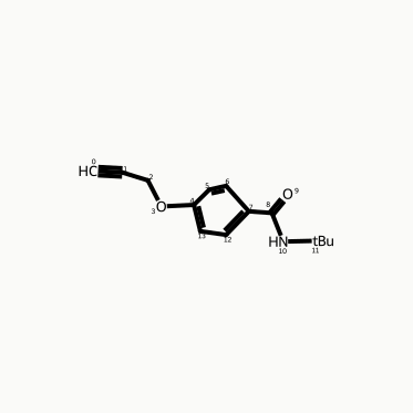 C#CCOc1ccc(C(=O)NC(C)(C)C)cc1